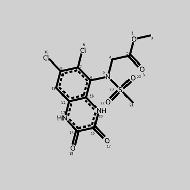 COC(=O)CN(c1c(Cl)c(Cl)cc2[nH]c(=O)c(=O)[nH]c12)S(C)(=O)=O